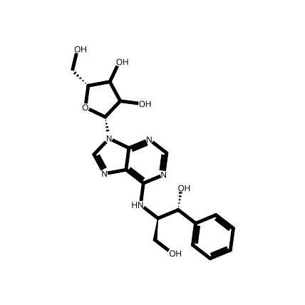 OC[C@H]1O[C@@H](n2cnc3c(N[C@H](CO)[C@H](O)c4ccccc4)ncnc32)C(O)C1O